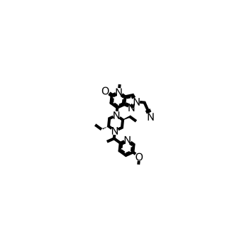 CC[C@H]1CN(C(C)c2ccc(OC)cn2)[C@H](CC)CN1c1cc(=O)n(C)c2cn(CC#N)nc12